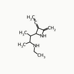 C=C=C1C(=C)NC1C(C)C(C)NCC